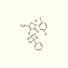 [2H]C([2H])(c1ccccc1)S(=O)(=O)OC1=C(N)O[C@@]([2H])(c2cc(Cl)ccc2F)C1=O